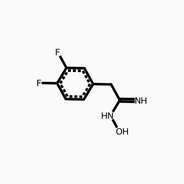 N=C(Cc1ccc(F)c(F)c1)NO